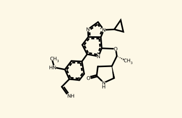 CNc1cc(-c2cc3ncn(C4CC4)c3c(O[C@H](C)[C@H]3CNC(=O)C3)n2)ccc1C=N